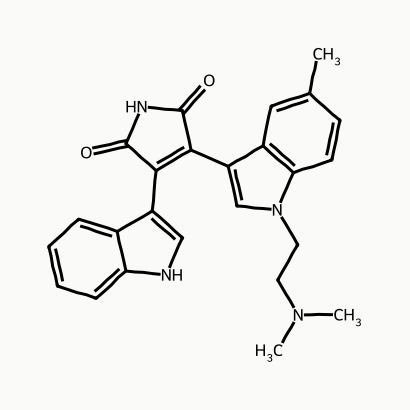 Cc1ccc2c(c1)c(C1=C(c3c[nH]c4ccccc34)C(=O)NC1=O)cn2CCN(C)C